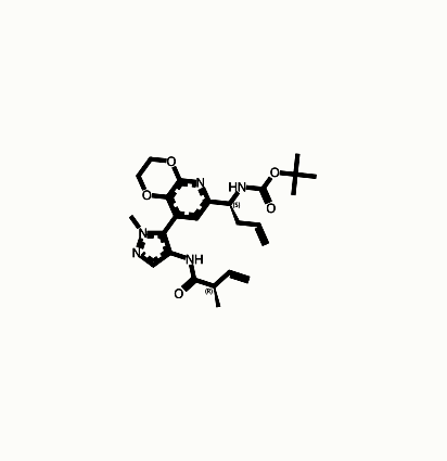 C=CC[C@H](NC(=O)OC(C)(C)C)c1cc(-c2c(NC(=O)[C@H](C)C=C)cnn2C)c2c(n1)OCCO2